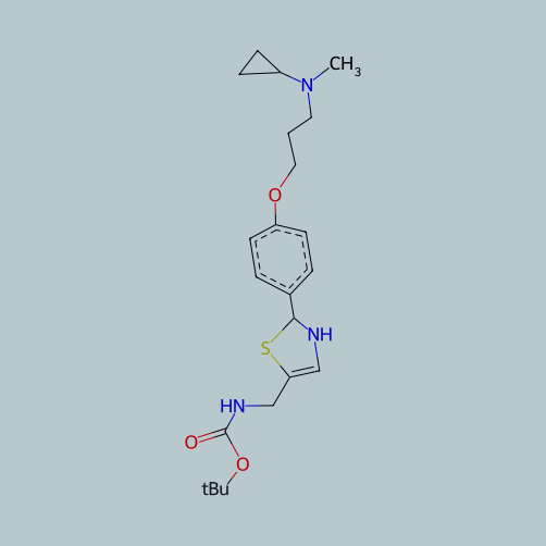 CN(CCCOc1ccc(C2NC=C(CNC(=O)OC(C)(C)C)S2)cc1)C1CC1